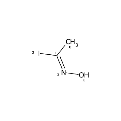 C/C(I)=N\O